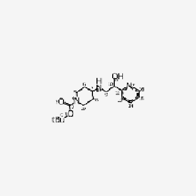 CC(C)(C)OC(=O)N1CCC(NCC(O)c2ccccn2)CC1